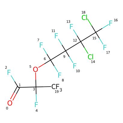 O=C(F)C(F)(OC(F)(F)C(F)(F)C(F)(Cl)C(F)(F)Cl)C(F)(F)F